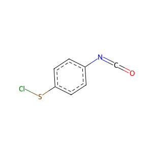 O=C=Nc1ccc(SCl)cc1